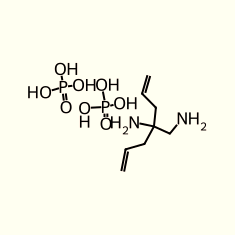 C=CCC(N)(CN)CC=C.O=P(O)(O)O.O=P(O)(O)O